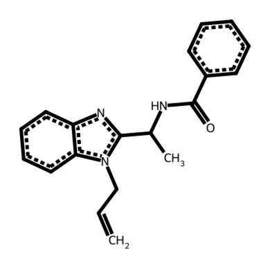 C=CCn1c(C(C)NC(=O)c2ccccc2)nc2ccccc21